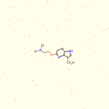 CCN(CC)CCOc1ccc2[nH]cc(C(=O)O)c2n1